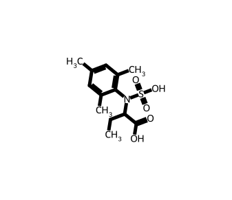 CCC(C(=O)O)N(c1c(C)cc(C)cc1C)S(=O)(=O)O